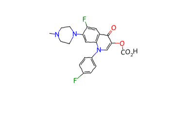 CN1CCN(c2cc3c(cc2F)c(=O)c(OC(=O)O)cn3-c2ccc(F)cc2)CC1